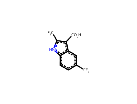 O=C(O)c1c(C(F)(F)F)[nH]c2ccc(C(F)(F)F)cc12